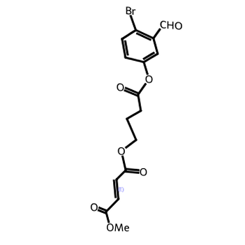 COC(=O)/C=C/C(=O)OCCCC(=O)Oc1ccc(Br)c(C=O)c1